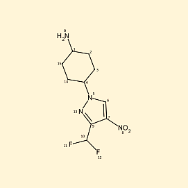 NC1CCC(n2cc([N+](=O)[O-])c(C(F)F)n2)CC1